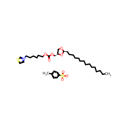 CCCCCCCCCCCCCCC[C@@H]1OC[C@@H](COC(=O)OCCCCCC[n+]2ccsc2)O1.Cc1ccc(S(=O)(=O)[O-])cc1